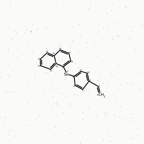 C=Cc1ccc([Se]c2cccc3ccccc23)cc1